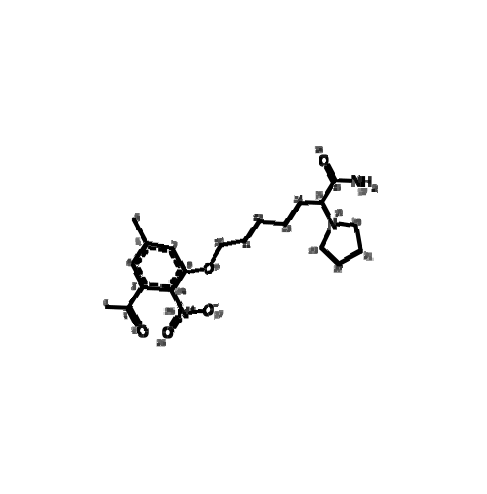 CC(=O)c1cc(C)cc(OCCCCCC(C(N)=O)N2CCCC2)c1[N+](=O)[O-]